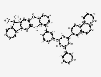 CC1(C)c2ccccc2-c2cc3c(cc21)Oc1cccc(-c2cccc(-c4nc(-c5ccccc5)nc(-c5ccc6c(ccc7ccccc76)c5)n4)c2)c1O3